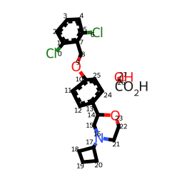 Clc1cccc(Cl)c1COc1ccc(C2CN(C3CCC3)CCO2)cc1.O=C(O)O